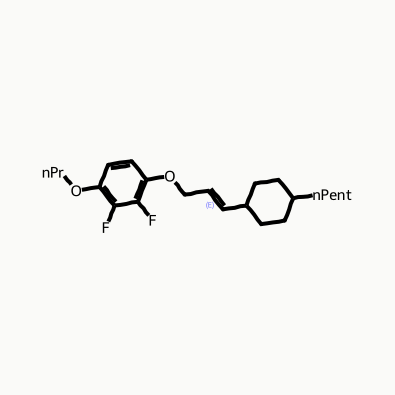 CCCCCC1CCC(/C=C/COc2ccc(OCCC)c(F)c2F)CC1